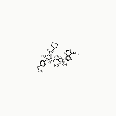 COc1ccc(OP(=O)(NC(C)C(=O)OC2CCCCC2)OC(C)C2OC(n3cnc4c(N)ncnc43)[C@H](O)[C@@H]2O)cc1